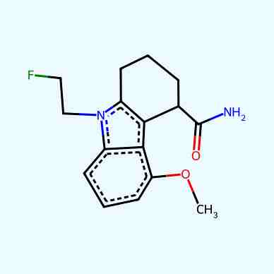 COc1cccc2c1c1c(n2CCF)CCCC1C(N)=O